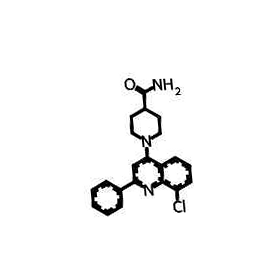 NC(=O)C1CCN(c2cc(-c3ccccc3)nc3c(Cl)cccc23)CC1